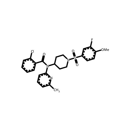 COc1ccc(S(=O)(=O)N2CCC(N(C(=O)c3ccccc3Cl)c3cccc(C)n3)CC2)cc1F